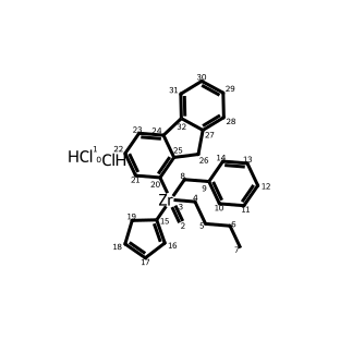 Cl.Cl.[CH2]=[Zr]([CH2]CCC)([CH2]c1ccccc1)([C]1=CC=CC1)[c]1cccc2c1Cc1ccccc1-2